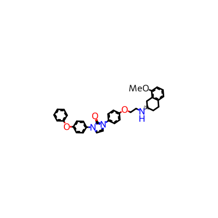 COc1cccc2c1C[C@@H](NCCOc1ccc(-n3ccn(-c4ccc(Oc5ccccc5)cc4)c3=O)cc1)CC2